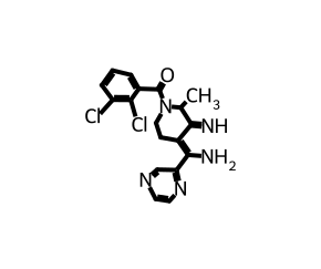 CC1C(=N)/C(=C(\N)c2cnccn2)CCN1C(=O)c1cccc(Cl)c1Cl